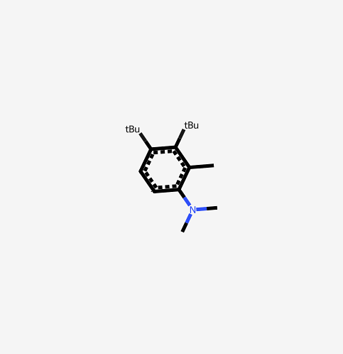 Cc1c(N(C)C)[c]cc(C(C)(C)C)c1C(C)(C)C